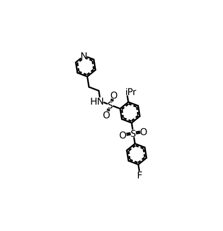 CC(C)c1ccc(S(=O)(=O)c2ccc(F)cc2)cc1S(=O)(=O)NCCc1ccncc1